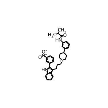 CC(C)C(=O)Nc1cccc(C2CCN(CCCc3c(-c4cccc([N+](=O)[O-])c4)[nH]c4ccccc34)CC2)c1